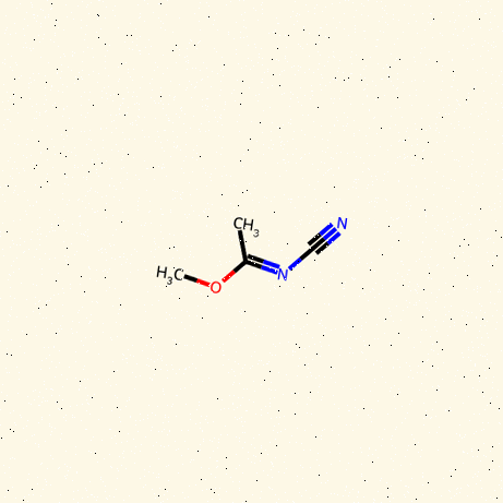 CO/C(C)=N/C#N